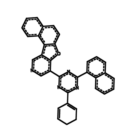 C1=CC(c2nc(-c3cccc4ccccc34)nc(-c3cncc4c3oc3ccc5ccccc5c34)n2)=CCC1